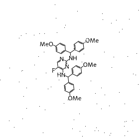 COc1ccc(C(Nc2ncc(F)c(NC(c3ccc(OC)cc3)c3ccc(OC)cc3)n2)c2ccc(OC)cc2)cc1